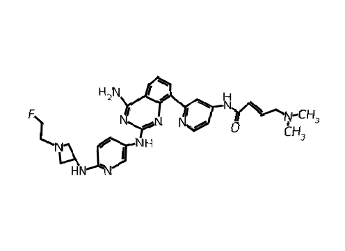 CN(C)CC=CC(=O)Nc1ccnc(-c2cccc3c(N)nc(Nc4ccc(NC5CN(CCF)C5)nc4)nc23)c1